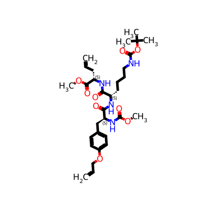 C=CCOc1ccc(C[C@H](NC(=O)OC)C(=O)N[C@@H](CCCCNC(=O)OC(C)(C)C)C(=O)N[C@@H](CC=C)C(=O)OC)cc1